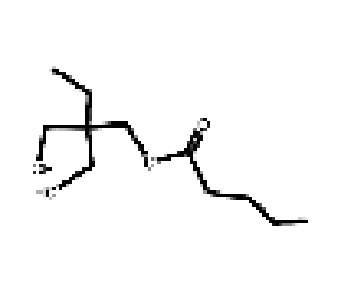 CCCCC(=O)OCC(CC)(CO)CO